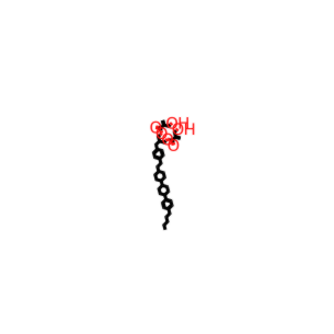 C=C(CO)C(=O)OCC(COC(=O)C(=C)CO)Cc1ccc(CCC2CCC(C3CCC(c4ccc(CCCCC)cc4)CC3)CC2)cc1